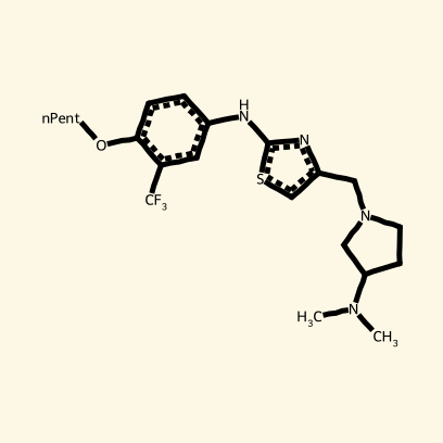 CCCCCOc1ccc(Nc2nc(CN3CCC(N(C)C)C3)cs2)cc1C(F)(F)F